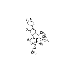 CCOC(=O)[C@@H](O)c1c(C)c2c(c(C)c1[Si](C)(C)C)CN(C1CCC(F)(F)CC1)C(=O)C2